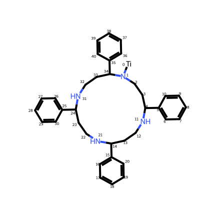 [Ti][N]1CCC(c2ccccc2)NCCC(c2ccccc2)NCCC(c2ccccc2)NCCC1c1ccccc1